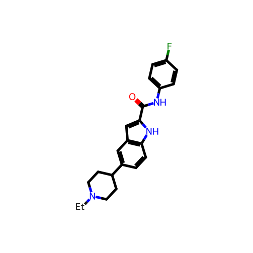 CCN1CCC(c2ccc3[nH]c(C(=O)Nc4ccc(F)cc4)cc3c2)CC1